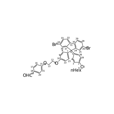 CCCCCCOc1ccc(C2(c3ccc(OCCOc4ccc(C=O)cc4)cc3)c3cc(Br)ccc3-c3ccc(Br)cc32)cc1